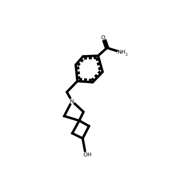 NC(=O)c1ccc(CN2CC3(CC(O)C3)C2)cc1